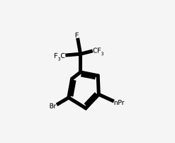 CCCc1[c]c(Br)cc(C(F)(C(F)(F)F)C(F)(F)F)c1